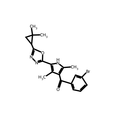 Cc1[nH]c(-c2nnc(C3CC3(C)C)o2)c(C)c1C(=O)c1cccc(Br)c1